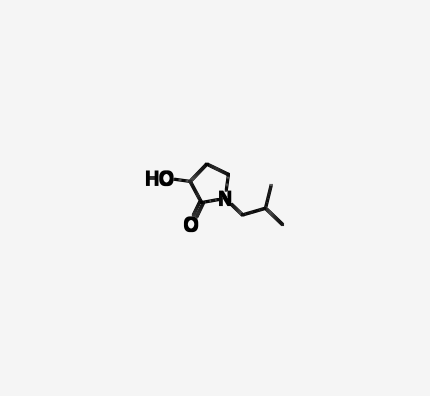 CC(C)CN1CCC(O)C1=O